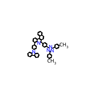 Cc1ccc(-c2nc(-c3ccc(C)cc3)nc(-c3ccc(-c4nc5c(-c6ccc(-n7c8ccccc8c8ccccc87)cc6)cccc5c5c4ccc4ccccc45)cc3)n2)cc1